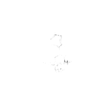 CO[Si](CC(CCl)c1ccccc1)(OC)OC